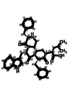 CC(C)C[C@@H](C(=O)O)N1CCN(C(=O)[C@H](Cc2c[nH]c3ccccc23)N2CCN[C@@H](Cc3ccccc3)C2=O)[C@@H](Cc2ccccc2)C1=O